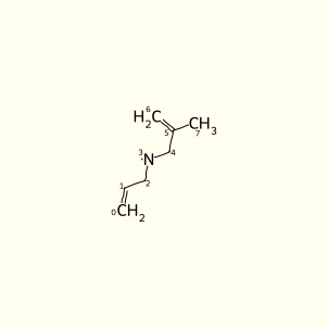 C=CC[N]CC(=C)C